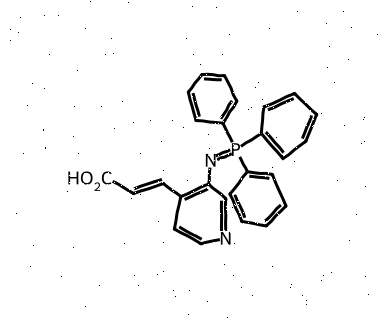 O=C(O)C=Cc1ccncc1N=P(c1ccccc1)(c1ccccc1)c1ccccc1